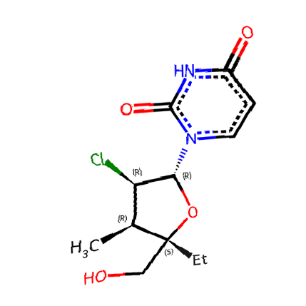 CC[C@]1(CO)O[C@@H](n2ccc(=O)[nH]c2=O)[C@H](Cl)[C@@H]1C